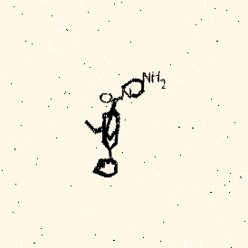 CCC12CC3CC(C(=O)N4CCC(N)CC4)(C1)CC(c1ccccc1)(C3)C2